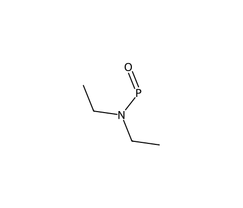 CCN(CC)P=O